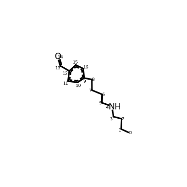 CCCCNCCCCc1ccc(C=O)cc1